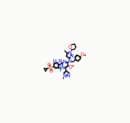 COC1=C(c2cnn(C)c2)NC(N)(c2ccc(S(=O)(=O)C3CC3)cc2F)N=C1N(Cc1ccc(OC)cc1)c1cc(C)n(C2CCCCO2)n1